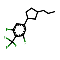 CCCC1CCC(c2cc(F)c(C(F)(F)F)c(F)c2)C1